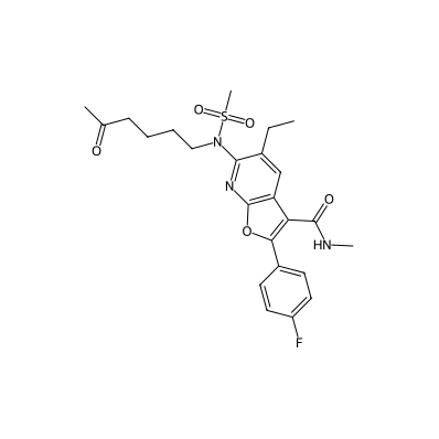 CCc1cc2c(C(=O)NC)c(-c3ccc(F)cc3)oc2nc1N(CCCCC(C)=O)S(C)(=O)=O